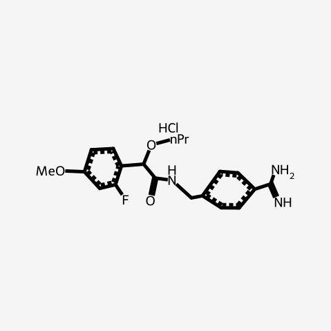 CCCOC(C(=O)NCc1ccc(C(=N)N)cc1)c1ccc(OC)cc1F.Cl